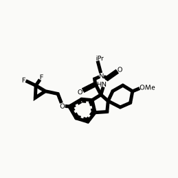 COC1CCC2(CC1)Cc1ccc(OCC3CC3(F)F)cc1C21NC(=O)N(C(C)C)CC1=O